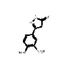 COc1ccc(C2=NOC(=O)C2)cc1S(=O)(=O)O